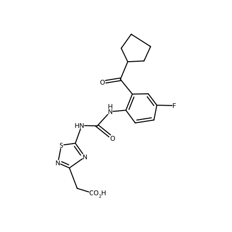 O=C(O)Cc1nsc(NC(=O)Nc2ccc(F)cc2C(=O)C2CCCC2)n1